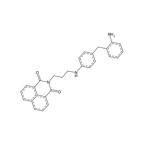 Nc1ccccc1Cc1ccc(NCCCN2C(=O)c3cccc4cccc(c34)C2=O)cc1